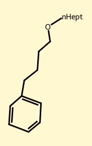 [CH2]CCCCCCOCCCCc1ccccc1